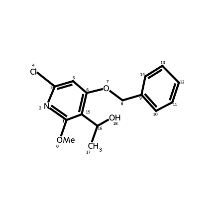 COc1nc(Cl)cc(OCc2ccccc2)c1C(C)O